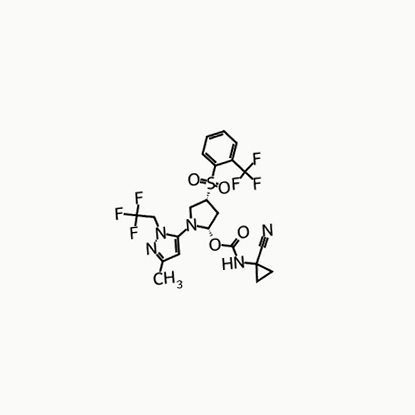 Cc1cc(N2C[C@H](S(=O)(=O)c3ccccc3C(F)(F)F)C[C@@H]2OC(=O)NC2(C#N)CC2)n(CC(F)(F)F)n1